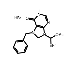 Br.CCCC(OC(C)=O)N1CN(Cc2ccccc2)c2c1nc[nH]c2=O